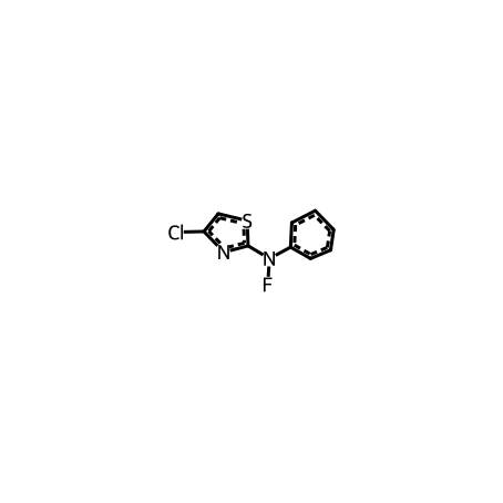 FN(c1ccccc1)c1nc(Cl)cs1